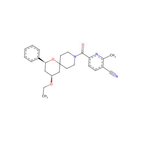 CCO[C@H]1C[C@@H](c2ccccc2)OC2(CCN(C(=O)c3ccc(C#N)c(C)n3)CC2)C1